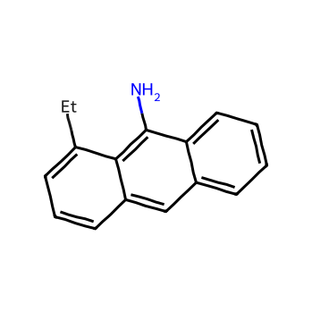 CCc1cccc2cc3ccccc3c(N)c12